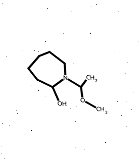 COC(C)N1CCCCCC1O